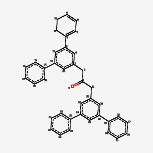 O=C(Cc1cc(C2=CC=CCC2)cc(-c2ccccc2)c1)Cc1cc(-c2ccccc2)cc(-c2ccccc2)c1